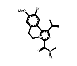 C=C(C)c1nc(C(=O)N(C)C(C)(C)C)n2c1-c1cc(Br)c(OC)cc1CC2